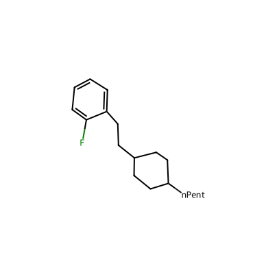 CCCCCC1CCC(CCc2ccccc2F)CC1